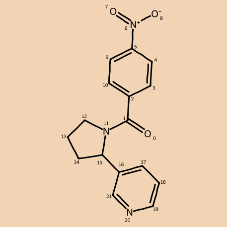 O=C(c1ccc([N+](=O)[O-])cc1)N1CCCC1c1cccnc1